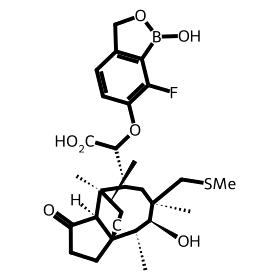 CSC[C@]1(C)C[C@@H](C(Oc2ccc3c(c2F)B(O)OC3)C(=O)O)[C@@]2(C)[C@H](C)CC[C@]3(CCC(=O)[C@H]32)[C@@H](C)[C@@H]1O